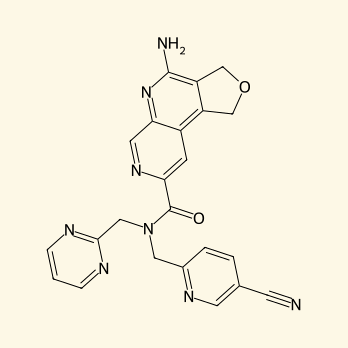 N#Cc1ccc(CN(Cc2ncccn2)C(=O)c2cc3c4c(c(N)nc3cn2)COC4)nc1